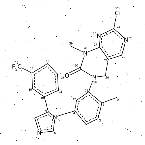 Cc1ccc(-n2cncc2-c2cccc(C(F)(F)F)c2)cc1N1Cc2cnc(Cl)nc2N(C)C1=O